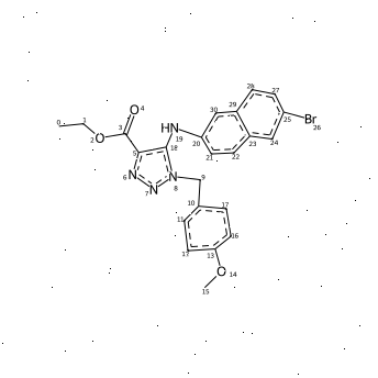 CCOC(=O)c1nnn(Cc2ccc(OC)cc2)c1Nc1ccc2cc(Br)ccc2c1